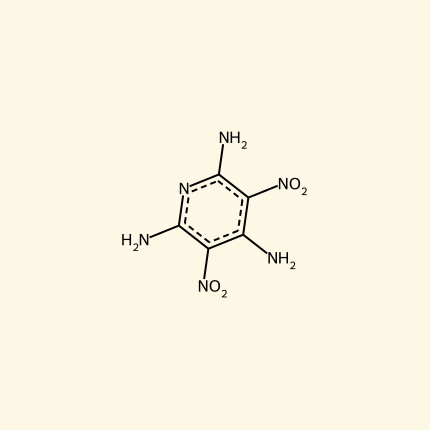 Nc1nc(N)c([N+](=O)[O-])c(N)c1[N+](=O)[O-]